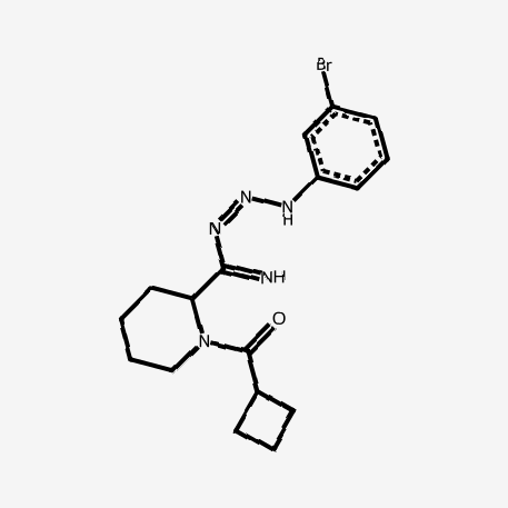 N=C(/N=N\Nc1cccc(Br)c1)C1CCCCN1C(=O)C1CCC1